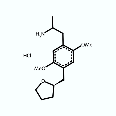 COc1cc(C[C@H]2CCCO2)c(OC)cc1CC(C)N.Cl